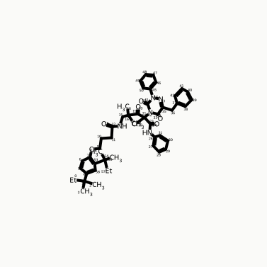 CCC(C)(C)c1ccc(OCCCC(=O)NCC(C)(C)C(=O)C(Cl)(C(=O)Nc2ccccc2)n2c(=O)c(Cc3ccccc3)nn(-c3ccccc3)c2=O)c(C(C)(C)CC)c1